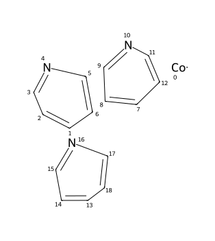 [Co].c1ccncc1.c1ccncc1.c1ccncc1